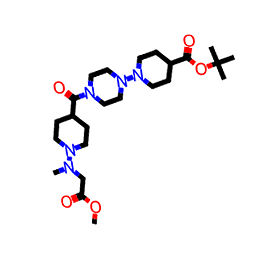 COC(=O)CN(C)N1CCC(C(=O)N2CCN(N3CCC(C(=O)OC(C)(C)C)CC3)CC2)CC1